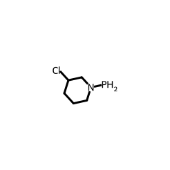 PN1CCCC(Cl)C1